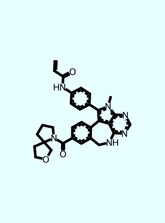 C=CC(=O)Nc1ccc(-c2c3c4c(ncnc4n2C)NCc2cc(C(=O)N4CCCC45CCOC5)ccc2-3)cc1